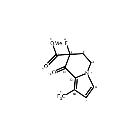 COC(=O)C1(F)CCn2ccc(C(F)(F)F)c2C1=O